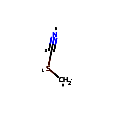 [CH2]SC#N